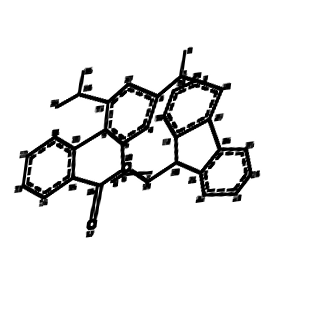 CC(C)c1cc(C(C)C)c(-c2ccccc2C(=O)OCC2c3ccccc3-c3ccccc32)c(C(C)C)c1